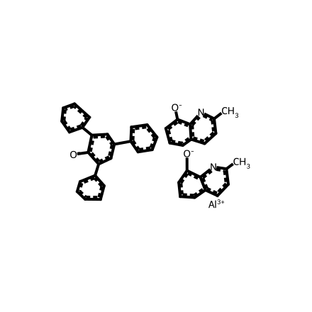 Cc1ccc2cccc([O-])c2n1.Cc1ccc2cccc([O-])c2n1.[Al+3].[O-]c1c(-c2ccccc2)cc(-c2ccccc2)cc1-c1ccccc1